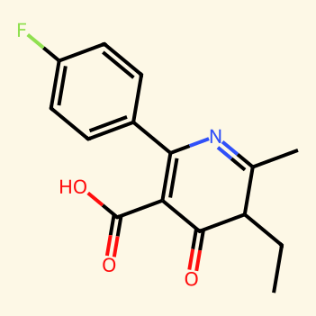 CCC1C(=O)C(C(=O)O)=C(c2ccc(F)cc2)N=C1C